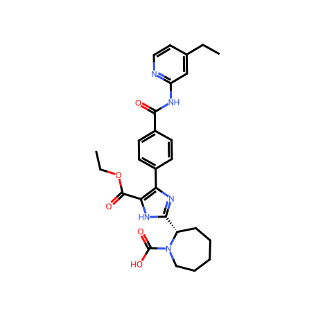 CCOC(=O)c1[nH]c([C@@H]2CCCCCN2C(=O)O)nc1-c1ccc(C(=O)Nc2cc(CC)ccn2)cc1